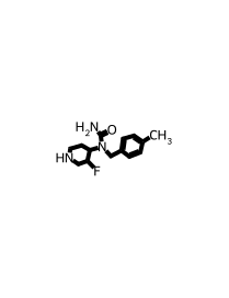 Cc1ccc(CN(C(N)=O)C2CCNCC2F)cc1